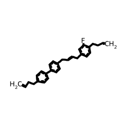 C=CCCc1ccc(-c2ccc(C/C=C/Cc3ccc(CCC=C)c(F)c3)cc2)cc1